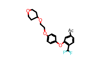 CC(=O)c1ccc(C(F)F)c(Oc2ccc(OCCOC3CCOCC3)cc2)c1